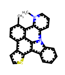 Cc1ccc2c3ccsc3c3c4ccccc4n4c5ccc[n+](C)c5c1c2c34